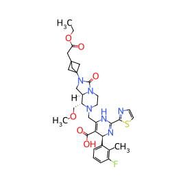 CCOC(=O)CC12CC(N3C[C@@H]4[C@@H](COC)N(CC5=C(C(=O)O)[C@H](c6cccc(F)c6C)N=C(c6nccs6)N5)CCN4C3=O)(C1)C2